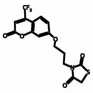 O=C1CSC(=O)N1CCCOc1ccc2c(C(F)(F)F)cc(=O)oc2c1